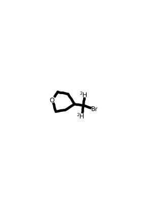 [2H]C([2H])(Br)C1CCOCC1